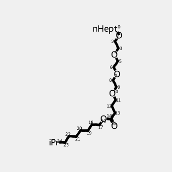 CCCCCCCOCCOCCOCCOCCCC(=O)OCCCCCCCC(C)C